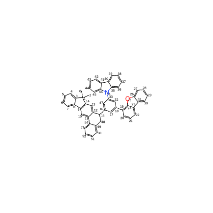 CC1(C)c2ccccc2-c2cc3c(cc21)C(c1cc(-c2cccc4c2oc2ccccc24)cc(-n2c4ccccc4c4ccccc42)c1)Cc1ccccc1-3